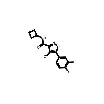 O=C(NC1CCC1)c1noc(-c2ccc(F)c(F)c2)c1Cl